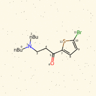 CCCCN(CCCC)CCC(=O)c1ccc(Br)s1